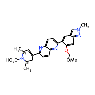 COCOc1cc2nn(C)cc2cc1-c1ccc2nc(C3=C[C@H](C)N(C(=O)O)[C@H](C)C3)ccc2n1